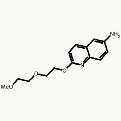 COCCOCCOc1ccc2cc(N)ccc2n1